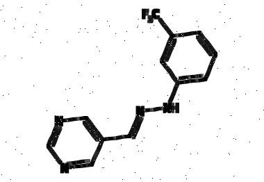 FC(F)(F)c1cccc(N/N=C/c2cncnc2)c1